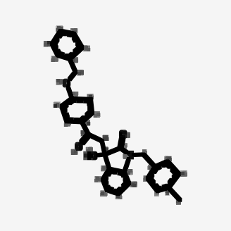 Cc1ccc(CN2C(=O)C(O)(CC(=O)c3ccc(OCc4ccccc4)cc3)c3ccccc32)cc1